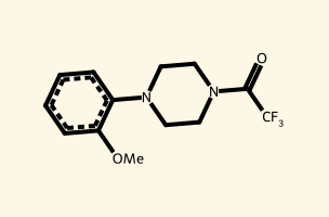 COc1ccccc1N1CCN(C(=O)C(F)(F)F)CC1